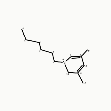 CCCCCCN1C=C(C)C=C(C)C1